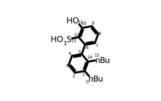 CCCCc1cccc(-c2cccc(O)c2S(=O)(=O)O)c1CCCC